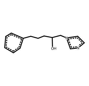 OC(CCCc1ccccc1)Cn1ccnc1